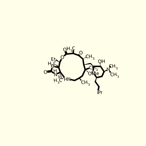 CC[C@H]1OC(=O)C(C)C(=O)[C@H](C)[C@@H](C[C@@H]2O[C@H](CCC(C)C)C[C@H](N(C)C)[C@H]2O)[C@](C)(OC)C[C@@H](C)CN[C@H](C)[C@H]2NC(=O)O[C@@]21C